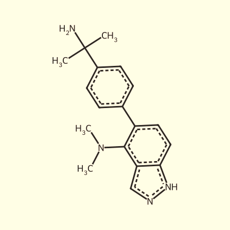 CN(C)c1c(-c2ccc(C(C)(C)N)cc2)ccc2[nH]ncc12